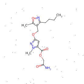 CCCCc1noc(C)c1COc1cc(C(=O)OCC(N)=O)n(C)n1